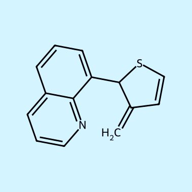 C=C1C=CSC1c1cccc2cccnc12